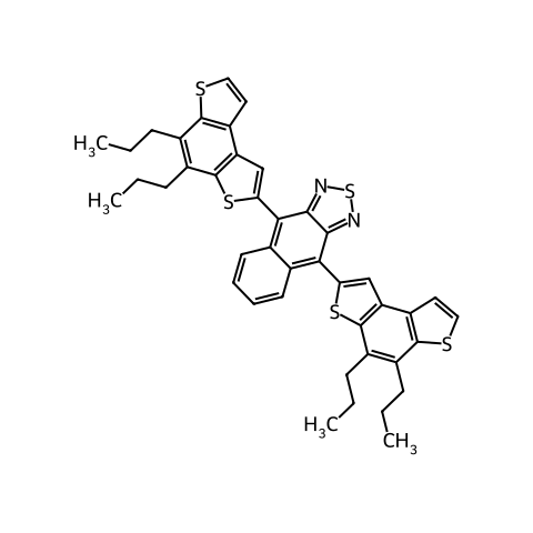 CCCc1c(CCC)c2sc(-c3c4ccccc4c(-c4cc5c(s4)c(CCC)c(CCC)c4sccc45)c4nsnc34)cc2c2ccsc12